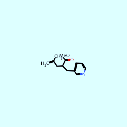 C=C(C)CC(Cc1cccnc1)C(=O)OC